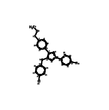 COSc1ccc(-c2nn(-c3ccc(F)cn3)cc2Sc2ccc(Cl)cc2)cc1